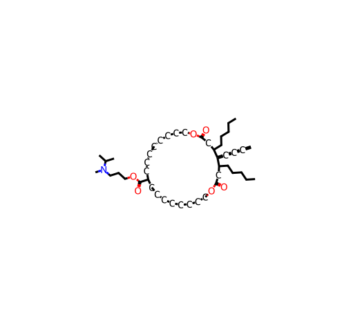 C=C=C=C=C1C(CCCCC)CC(=O)OCCCCCCCCC(C(=O)OCCCN(C)C(C)C)CCCCCCCCOC(=O)CC1CCCCC